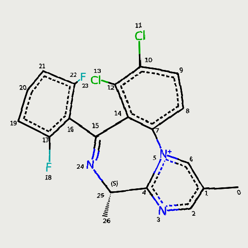 Cc1cnc2[n+](c1)-c1ccc(Cl)c(Cl)c1C(c1c(F)cccc1F)=N[C@H]2C